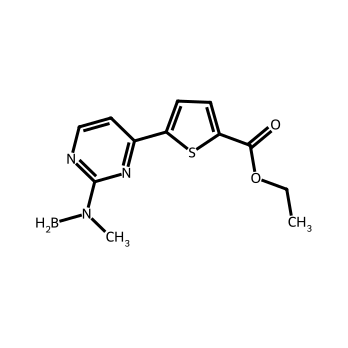 BN(C)c1nccc(-c2ccc(C(=O)OCC)s2)n1